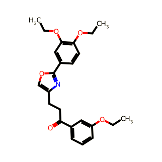 CCOc1cccc(C(=O)CCc2coc(-c3ccc(OCC)c(OCC)c3)n2)c1